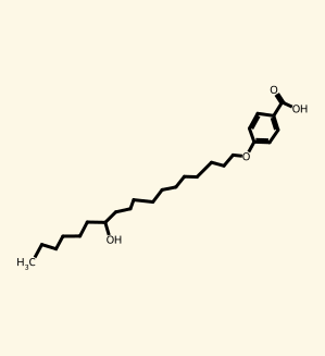 CCCCCCC(O)CCCCCCCCCCCOc1ccc(C(=O)O)cc1